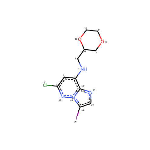 Clc1cc(NCC2COCCO2)c2ncc(I)n2n1